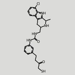 CC1NC(CNC(=O)Nc2cccc(CCC(=O)CS)c2)Cc2c1[nH]c1c(Cl)cccc21